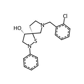 O[C@H]1CN(c2ccccc2)S[C@@]12CCN(Cc1ccccc1Cl)C2